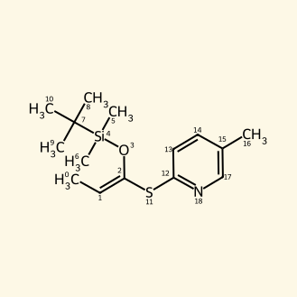 CC=C(O[Si](C)(C)C(C)(C)C)Sc1ccc(C)cn1